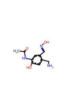 CC(=O)Nc1cc(C=NO)c(CN)cc1O